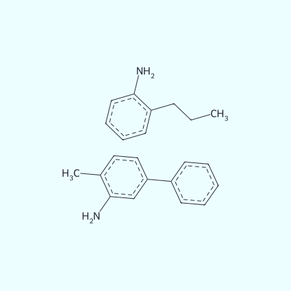 CCCc1ccccc1N.Cc1ccc(-c2ccccc2)cc1N